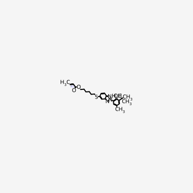 C/C=C/C(=O)OCCCCCCSc1ccc2nn(-c3cc(C)cc(C(C)(C)C)c3O)nc2c1